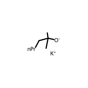 CCCCC(C)(C)[O-].[K+]